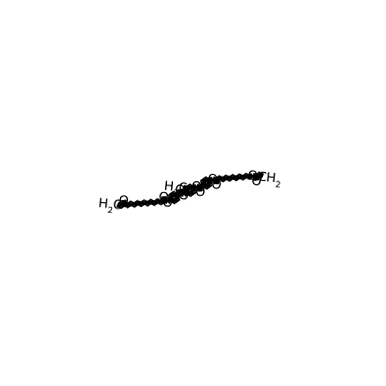 C=CC(=O)CCCCCCCCCCCC(=O)Oc1ccc(C(=O)Oc2ccc(OC(=O)c3ccc(OC(=O)CCCCCCCCCCOC(=O)C=C)cc3)cc2C)cc1